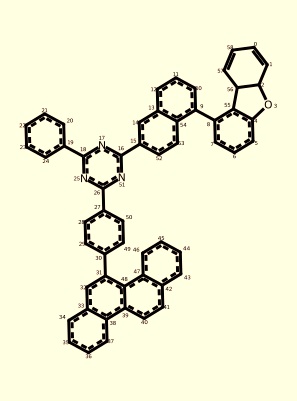 C1=CC2Oc3cccc(-c4cccc5cc(-c6nc(-c7ccccc7)nc(-c7ccc(-c8cc9ccccc9c9ccc%10ccccc%10c89)cc7)n6)ccc45)c3C2C=C1